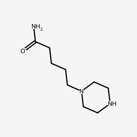 NC(=O)CCCCN1CCNCC1